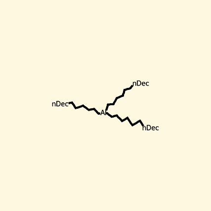 CCCCCCCCCCCCCCC[CH2][Al]([CH2]CCCCCCCCCCCCCCC)[CH2]CCCCCCCCCCCCCCC